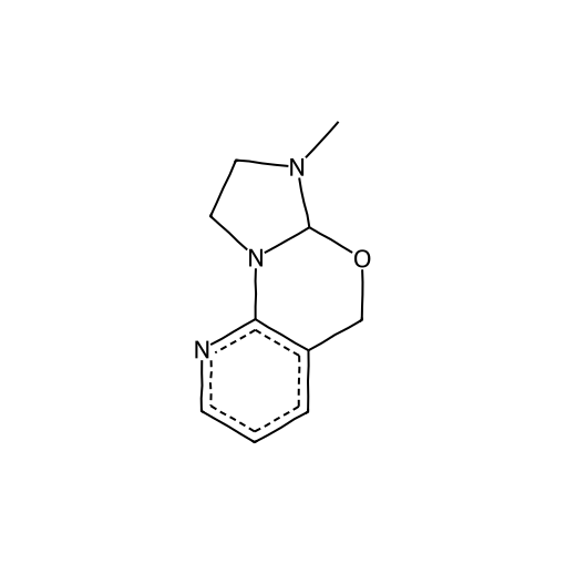 CN1CCN2c3ncccc3COC12